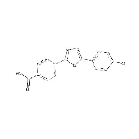 O=C(O)c1ccc(-c2ncc(-c3ccc(Cl)cc3)o2)cc1